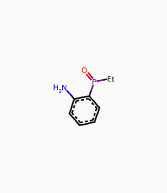 CC[P](=O)c1ccccc1N